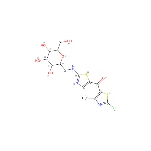 Cc1nc(Cl)sc1C(=O)c1cnc(NCC2OC(CO)C(O)C(O)C2O)s1